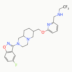 Fc1ccc2onc(N3CCN4CC(COc5cccc(CNCC(F)(F)F)n5)CCC4C3)c2c1